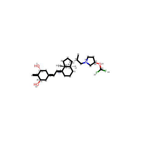 C=C1[C@H](O)CC(=C/C=C2\CCC[C@]3(C)[C@@H](C(C)CN4CC[C@@H](OC(F)F)C4)CC[C@@H]23)C[C@H]1O